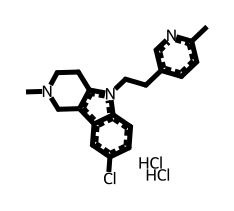 Cc1ccc(CCn2c3c(c4cc(Cl)ccc42)CN(C)CC3)cn1.Cl.Cl